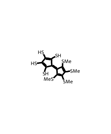 CSC1=C(SC)C(=C2C(S)=C(S)C(S)=C2S)C(SC)=C1SC